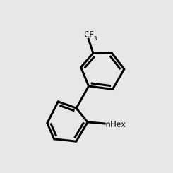 [CH2]CCCCCc1ccccc1-c1cccc(C(F)(F)F)c1